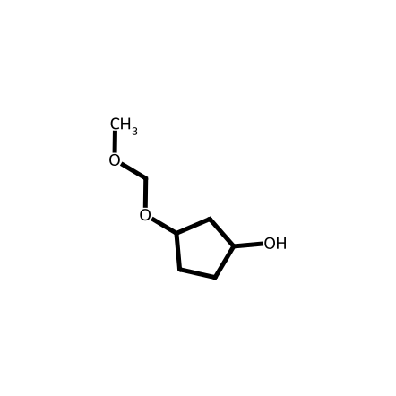 COCOC1CCC(O)C1